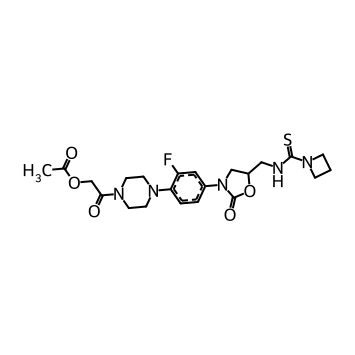 CC(=O)OCC(=O)N1CCN(c2ccc(N3CC(CNC(=S)N4CCC4)OC3=O)cc2F)CC1